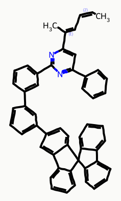 C/C=C\C=C(/C)c1cc(-c2ccccc2)nc(-c2cccc(-c3cccc(-c4ccc5c(c4)-c4ccccc4C54c5ccccc5-c5ccccc54)c3)c2)n1